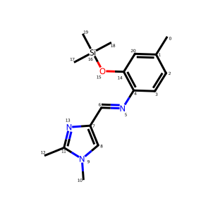 Cc1ccc(N=Cc2cn(C)c(C)n2)c(O[Si](C)(C)C)c1